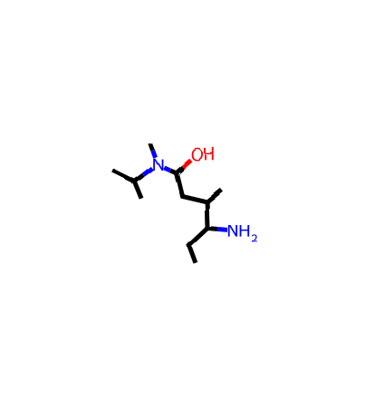 CCC(N)C(C)CC(O)N(C)C(C)C